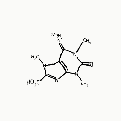 Cn1c(=O)c2c(nc(C(=O)O)n2C)n(C)c1=O.[MgH2]